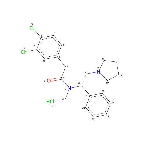 CN(C(=O)Cc1ccc(Cl)c(Cl)c1)[C@H](CN1CCCC1)c1ccccc1.Cl